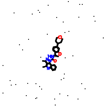 Cc1nc2ccccc2c2c1c(C)nn2C(=O)N[C@@H]1COc2cc(C3CCOCC3)ccc21